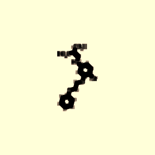 O=C(O)C(=CNc1ccc(Br)c(OCCOc2ccccc2)c1)C(=O)O